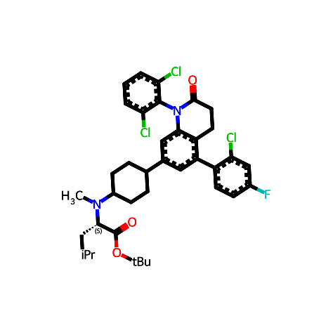 CC(C)C[C@@H](C(=O)OC(C)(C)C)N(C)C1CCC(c2cc(-c3ccc(F)cc3Cl)c3c(c2)N(c2c(Cl)cccc2Cl)C(=O)CC3)CC1